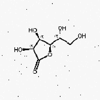 O=C1O[C@H]([C@H](O)CO)[C@H](O)[C@@H]1O